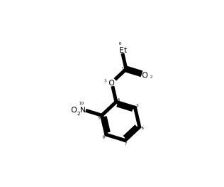 CCC(=O)Oc1ccccc1[N+](=O)[O-]